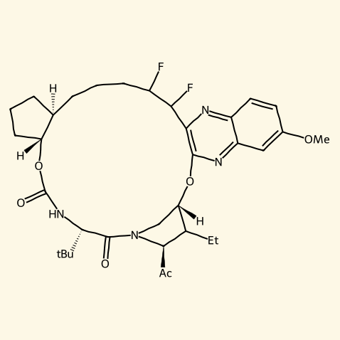 CCC1[C@@H]2CN(C(=O)[C@H](C(C)(C)C)NC(=O)O[C@@H]3CCC[C@H]3CCCC(F)C(F)c3nc4ccc(OC)cc4nc3O2)[C@@H]1C(C)=O